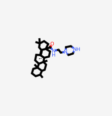 CC1CCCC2(C)C1CCC1(C)C2CCC2=C3CC(C)(C)CCC3(C(=O)NCCN3CCNCC3)CC[C@]21C